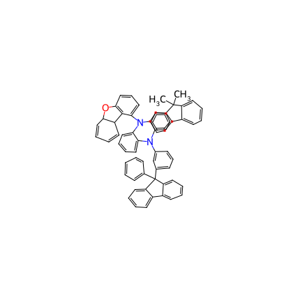 CC1(C)c2ccccc2-c2ccc(N(c3ccccc3N(c3ccccc3)c3cccc(C4(c5ccccc5)c5ccccc5-c5ccccc54)c3)c3cccc4c3C3C=CC=CC3O4)cc21